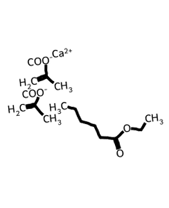 C=C(C)C(=O)[O-].C=C(C)C(=O)[O-].CCCCCC(=O)OCC.[Ca+2]